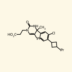 CC(C)C1=CN(CCC(=O)O)C(=O)NC1(C)c1ccc(C2CC(C(C)C)C2)c(Cl)c1